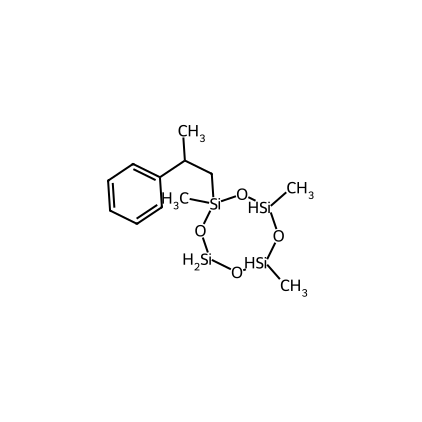 CC(C[Si]1(C)O[SiH2]O[SiH](C)O[SiH](C)O1)c1ccccc1